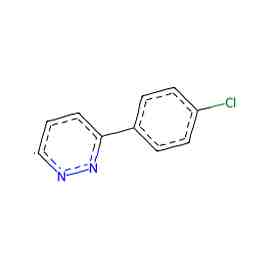 Clc1ccc(-c2cc[c]nn2)cc1